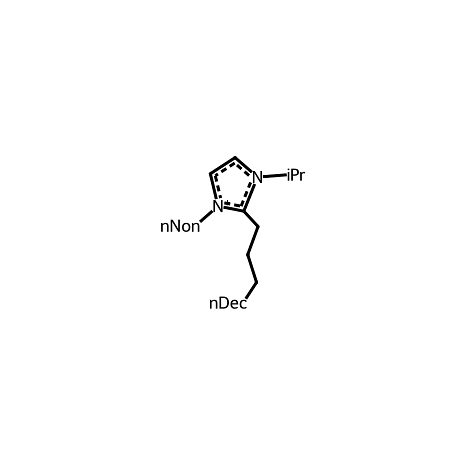 CCCCCCCCCCCCCc1n(C(C)C)cc[n+]1CCCCCCCCC